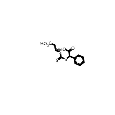 COC(=O)C(SC(=S)SCCC(=O)O)c1ccccc1